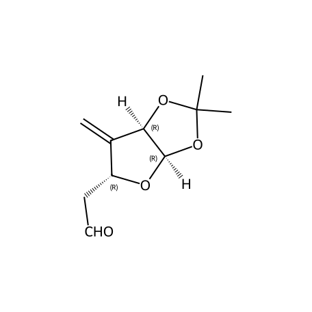 C=C1[C@H]2OC(C)(C)O[C@H]2O[C@@H]1CC=O